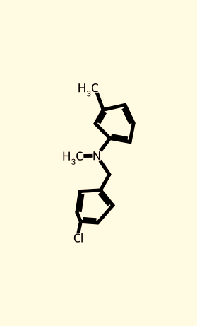 Cc1cccc(N(C)Cc2ccc(Cl)cc2)c1